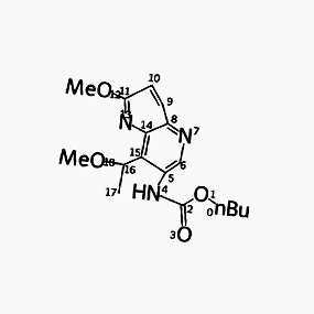 CCCCOC(=O)Nc1cnc2ccc(OC)nc2c1C(C)OC